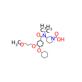 COCCCOc1cc(C(=O)N(C(C)C)[C@@H]2CCCN(C(=O)O)C2)ccc1OC1CCCCC1